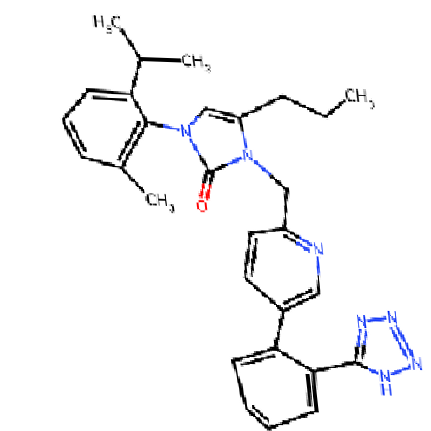 CCCc1cn(-c2c(C)cccc2C(C)C)c(=O)n1Cc1ccc(-c2ccccc2-c2nnn[nH]2)cn1